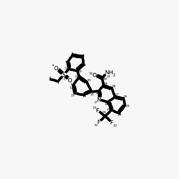 CCS(=O)(=O)c1ccccc1-c1cccc(-c2nc3c(C(F)(F)F)cccc3cc2C(N)=O)c1